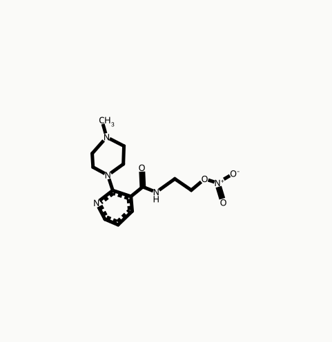 CN1CCN(c2ncccc2C(=O)NCCO[N+](=O)[O-])CC1